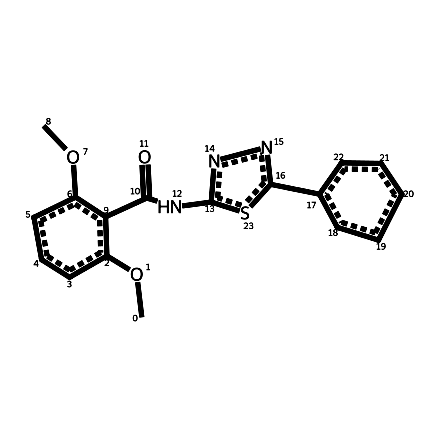 COc1cccc(OC)c1C(=O)Nc1nnc(-c2ccccc2)s1